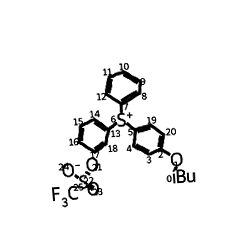 CCC(C)Oc1ccc([S+](c2ccccc2)c2ccccc2)cc1.O=S(=O)([O-])C(F)(F)F